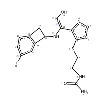 NC(=O)NCCSc1nonc1/C(=N\O)NC1Cc2ccc(F)cc21